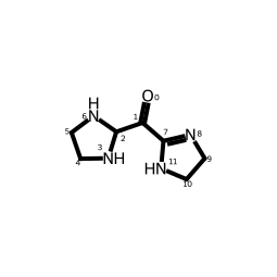 O=C([C]1NCCN1)C1=NCCN1